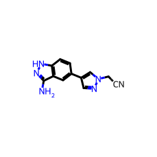 N#CCn1cc(-c2ccc3[nH]nc(N)c3c2)cn1